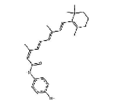 CC(=CC(=O)Nc1ccc(O)cc1)/C=C/C=C(C)/C=C/C1=C(C)CCCC1(C)C